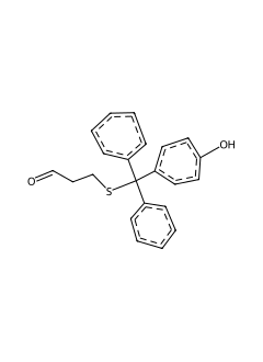 O=CCCSC(c1ccccc1)(c1ccccc1)c1ccc(O)cc1